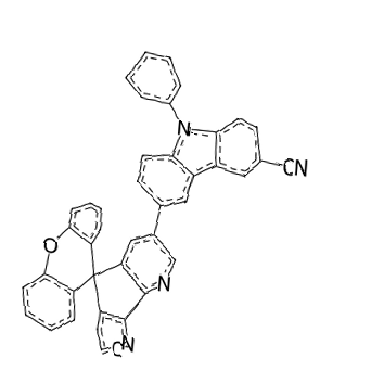 N#Cc1ccc2c(c1)c1cc(-c3cnc4c(c3)C3(c5ccccc5Oc5ccccc53)c3cccnc3-4)ccc1n2-c1ccccc1